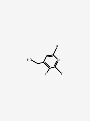 OCc1cc(F)nc(F)c1F